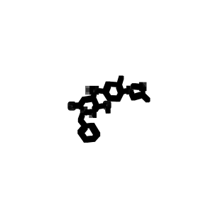 COc1nn(Cc2ccccc2)c(=O)cc1Nc1ccc(-n2cnc(C)c2)c(C)c1